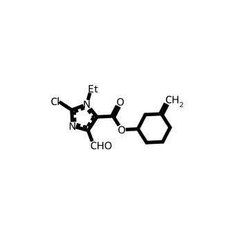 C=C1CCCC(OC(=O)c2c(C=O)nc(Cl)n2CC)C1